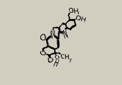 CCC1(O)C(=O)OCc2c1cc1n(c2=O)Cc2cc3c(CO)c(O)ccc3nc2-1